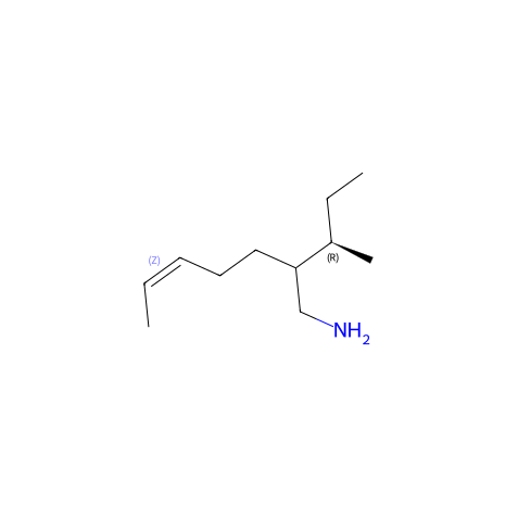 C/C=C\CCC(CN)[C@H](C)CC